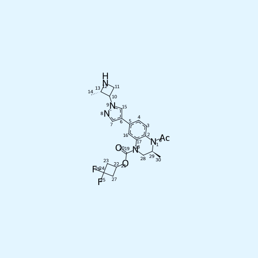 CC(=O)N1c2ccc(-c3cnn(C4CN[C@H]4C)c3)cc2N(C(=O)OC2CC(F)(F)C2)C[C@@H]1C